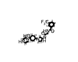 O=C(CNC(=O)c1cccc(C(F)(F)F)c1)N[C@@H]1CCN(C2CCC(O)(N3C=CNC=C3)CC2)C1